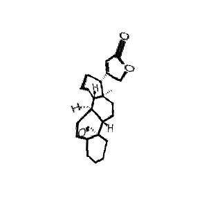 C[C@]12CC[C@H]3[C@@H](CCC4CCCC[C@@]43C=O)[C@@H]1CC[C@@H]2C1=CC(=O)OC1